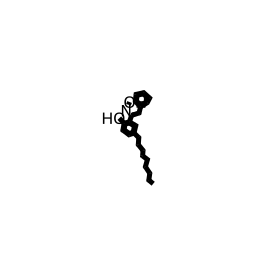 CCCCCCCCCc1ccc(O)c(/C(Cc2ccccc2)=N/O)c1